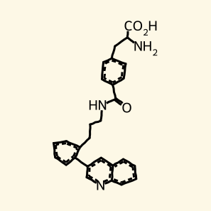 NC(Cc1ccc(C(=O)NCCCc2ccccc2-c2cnc3ccccc3c2)cc1)C(=O)O